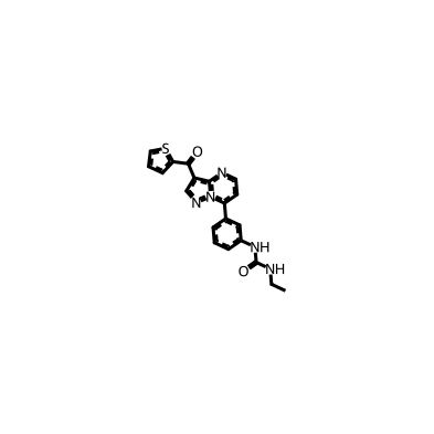 CCNC(=O)Nc1cccc(-c2ccnc3c(C(=O)c4cccs4)cnn23)c1